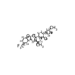 Cc1cn(-c2ccc3n(c2=O)C[C@@H](C)N(Cc2coc4ccc(C(F)(F)F)cc24)C3=O)cn1